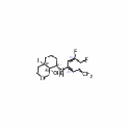 C=C/C=C(\C=C(\F)CF)N[C@@H]1CCC[C@@H]2CCOC[C@@]21O